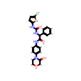 O=C(Nc1ccc(Cl)s1)NC(C(=O)Nc1ccc(N2CCOCC2=O)cc1)c1ccccc1